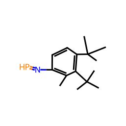 Cc1c(N=P)ccc(C(C)(C)C)c1C(C)(C)C